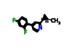 C[C@H]1C[C@@H]1c1cc(-c2ccc(F)cc2F)ccn1